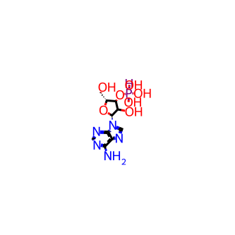 Nc1ncnc2c1ncn2[C@@H]1O[C@H](CO)C(O[PH](O)(O)O)C1O